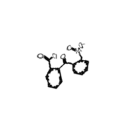 O=C(Cl)c1ccccc1C(=O)c1ccccc1[N+](=O)[O-]